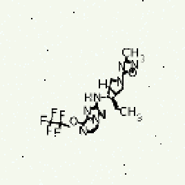 C/C=C1\C2CN(c3nc(C)no3)C[C@H]2[C@@H]1Nc1nc2c(OCC(F)(F)C(F)(F)F)nccn2n1